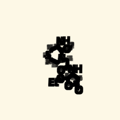 CCOC1OC(=O)CC1NC(=O)CN1CCSCC(N)C1=O